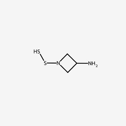 NC1CN(SS)C1